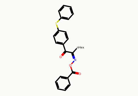 CCCCCCC(=NOC(=O)c1ccccc1)C(=O)c1ccc(Sc2c[c]ccc2)cc1